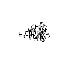 Cc1nc(C)nc(NC(=O)NS(=O)(=O)c2ccccc2C(=O)N2CCc3ccccc32)n1